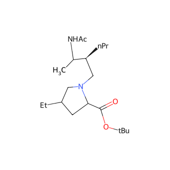 CCC[C@@H](CN1CC(CC)CC1C(=O)OC(C)(C)C)C(C)NC(C)=O